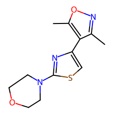 Cc1noc(C)c1-c1csc(N2CCOCC2)n1